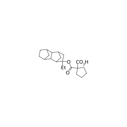 CCC1(OC(=O)C2(C(=O)O)CCCC2)CC2CC1C1C3CCC(C3)C21